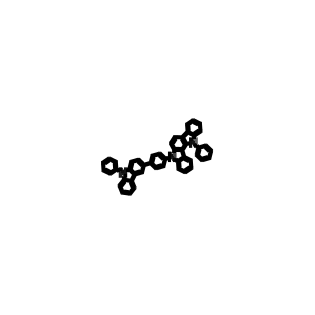 c1ccc(-n2c3ccccc3c3cc(-c4ccc(-n5c6ccccc6c6c5ccc5c7ccccc7n(-c7ccccc7)c56)cc4)ccc32)cc1